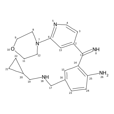 N=C(c1ccnc(N2CCOCC2)c1)c1cc(CNCC2CC2)ccc1N